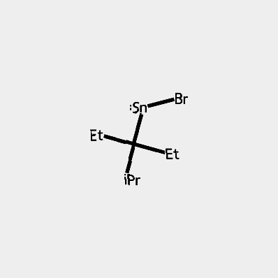 CC[C](CC)([Sn][Br])C(C)C